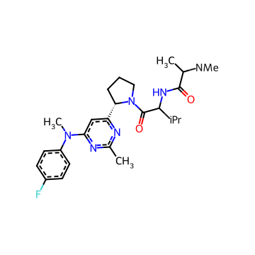 CNC(C)C(=O)NC(C(=O)N1CCC[C@H]1c1cc(N(C)c2ccc(F)cc2)nc(C)n1)C(C)C